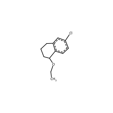 CCOC1CCCc2cc(Cl)ccc21